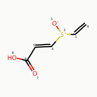 C=C[S+]([O-])C=CC(=O)O